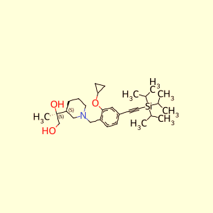 CC(C)[Si](C#Cc1ccc(CN2CCC[C@H]([C@](C)(O)CO)C2)c(OC2CC2)c1)(C(C)C)C(C)C